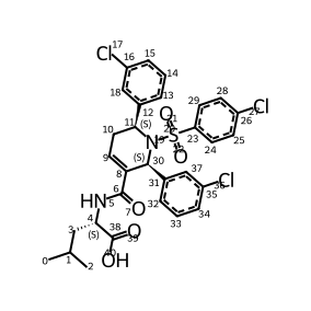 CC(C)C[C@H](NC(=O)C1=CC[C@@H](c2cccc(Cl)c2)N(S(=O)(=O)c2ccc(Cl)cc2)[C@H]1c1cccc(Cl)c1)C(=O)O